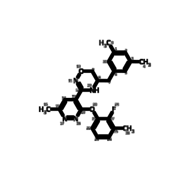 Cc1cc(C)cc(CC2CON=C(c3cc(C)nnc3Oc3cccc(C)c3F)N2)c1